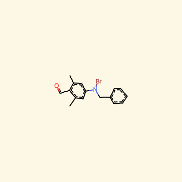 Cc1cc(N(Br)Cc2ccccc2)cc(C)c1C=O